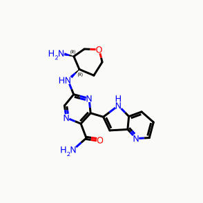 NC(=O)c1ncc(N[C@@H]2CCOC[C@@H]2N)nc1-c1cc2ncccc2[nH]1